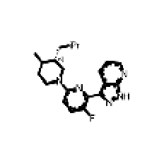 CC(C)C[C@@H]1CN(c2ccc(F)c(-c3n[nH]c4ncccc34)n2)CCC1C